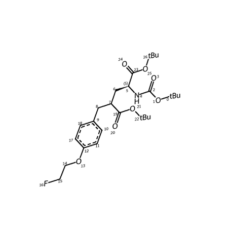 CC(C)(C)OC(=O)N[C@@H](CC(Cc1ccc(OCCF)cc1)C(=O)OC(C)(C)C)C(=O)OC(C)(C)C